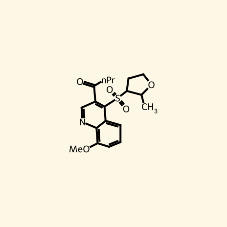 CCCC(=O)c1cnc2c(OC)cccc2c1S(=O)(=O)C1CCOC1C